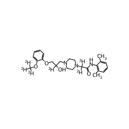 [2H]C(O)(COc1ccccc1OC([2H])([2H])[2H])CN1CCN(C([2H])([2H])C(=O)Nc2c(C)cccc2C)CC1